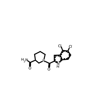 NC(=O)C1CCCN(C(=O)c2cc3c(Cl)c(Cl)ccc3[nH]2)C1